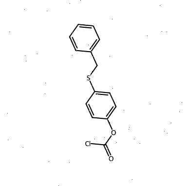 O=C(Cl)Oc1ccc(SCc2ccccc2)cc1